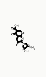 N[C@@H]1CN(c2nc3[nH]cc(C(=O)O)c(=O)c3cc2F)C[C@H]1O